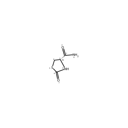 NC(=O)[C@H]1CSC(=O)N1